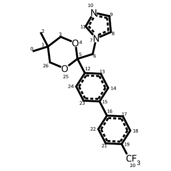 CC1(C)COC(Cn2ccnc2)(c2ccc(-c3ccc(C(F)(F)F)cc3)cc2)OC1